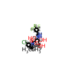 CN(C(=O)C1O[C@H](CO)[C@H](O)[C@H](n2cc(-c3cc(F)c(F)c(F)c3)nn2)[C@H]1O)c1cc(Cl)ccc1C(C)(C)C